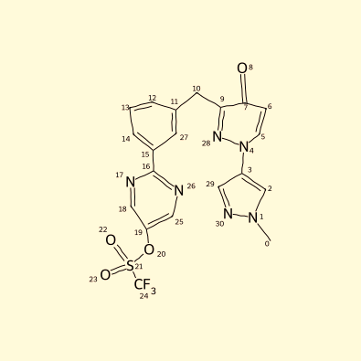 Cn1cc(-n2ccc(=O)c(Cc3cccc(-c4ncc(OS(=O)(=O)C(F)(F)F)cn4)c3)n2)cn1